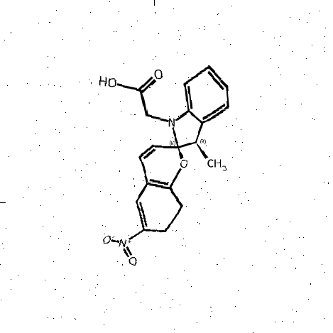 C[C@@H]1c2ccccc2N(CC(=O)O)[C@@]12C=CC1=C(CCC([N+](=O)[O-])=C1)O2